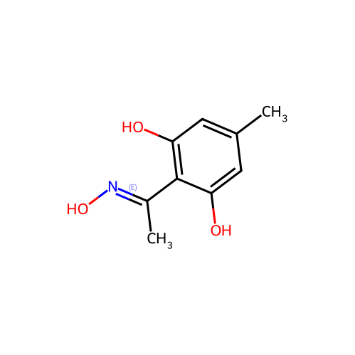 C/C(=N\O)c1c(O)cc(C)cc1O